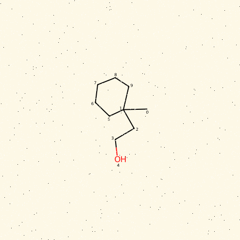 CC1(CCO)CCCCC1